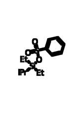 CC[Si](CC)(OS(=O)(=O)c1ccccc1)C(C)C